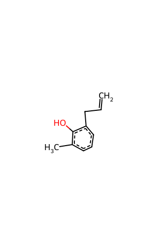 C=CCc1cccc(C)c1O